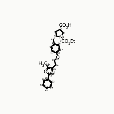 CCOC(=O)N1C[C@@H](C(=O)O)C[C@H]1Cc1ccc(OCCc2nc(-c3ccccc3)oc2C)cc1